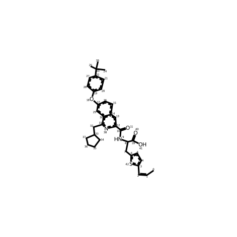 C/C=C\c1ccc(CC(NC(=O)c2cc3ccc(Oc4ccc(C(C)(C)C)cc4)cc3c(CC3CCCC3)n2)C(=O)O)s1